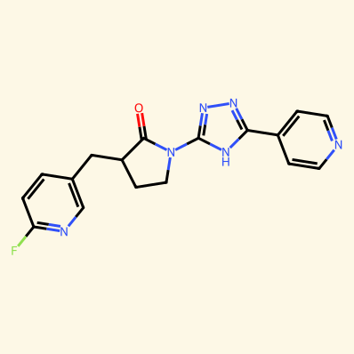 O=C1C(Cc2ccc(F)nc2)CCN1c1nnc(-c2ccncc2)[nH]1